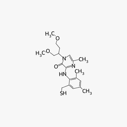 COCCC(COC)n1cc(C)nc(Nc2c(C)cc(C)cc2CS)c1=O